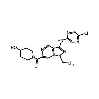 O=C(c1cc2c(cn1)c(Nc1cnc(Cl)cn1)nn2CC(F)(F)F)N1CCC(O)CC1